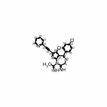 CC(=N)N1C(=N)CN=C(c2ccc(Cl)cc2)c2c1sc(C#Cc1ccccn1)c2C